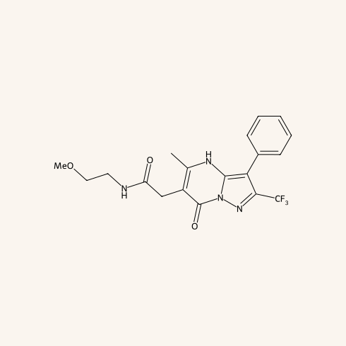 COCCNC(=O)Cc1c(C)[nH]c2c(-c3ccccc3)c(C(F)(F)F)nn2c1=O